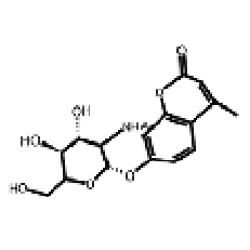 CC(=O)NC1[C@H](Oc2ccc3c(C)cc(=O)oc3c2)OC(CO)[C@@H](O)[C@@H]1O